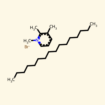 CCCCCCCCCCCCCCCC.Cc1ccc[n+](C)c1C.[Br-]